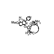 COc1ccc2c(OC3CC4C(=O)NC5(C(N)=O)CC5C=CCCCCN(C)C(=O)N4C3)nc(-c3ccncc3)nc2c1C